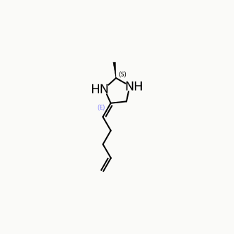 C=CCC/C=C1\CN[C@H](C)N1